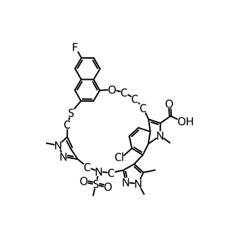 Cc1c2c(nn1C)CN(S(C)(=O)=O)Cc1cc(n(C)n1)CSc1cc(c3ccc(F)cc3c1)OCCCC1=C(C(=O)O)N(C)C3C2=C(Cl)C=CC13